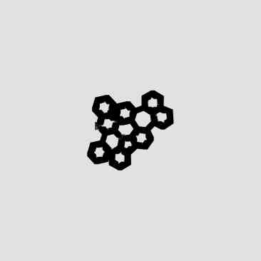 c1ccc(-c2nc3ccccc3nc2-n2c3ccccc3c3ccc4c(c32)-c2ccccc2-c2cccc3cccc-4c23)cc1